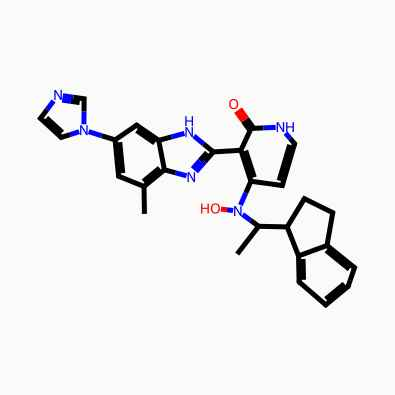 Cc1cc(-n2ccnc2)cc2[nH]c(-c3c(N(O)C(C)C4CCc5ccccc54)cc[nH]c3=O)nc12